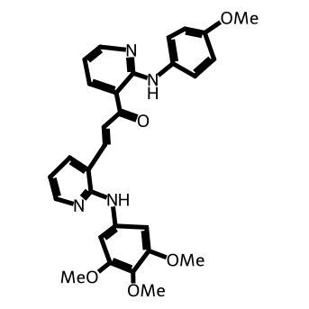 COc1ccc(Nc2ncccc2C(=O)C=Cc2cccnc2Nc2cc(OC)c(OC)c(OC)c2)cc1